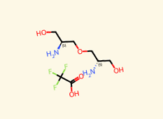 N[C@@H](CO)COC[C@@H](N)CO.O=C(O)C(F)(F)F